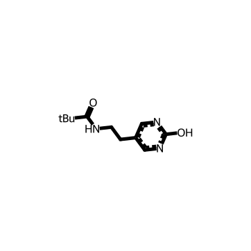 CC(C)(C)C(=O)NCCc1cnc(O)nc1